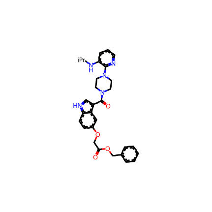 CC(C)Nc1cccnc1N1CCN(C(=O)c2c[nH]c3ccc(OCC(=O)OCc4ccccc4)cc23)CC1